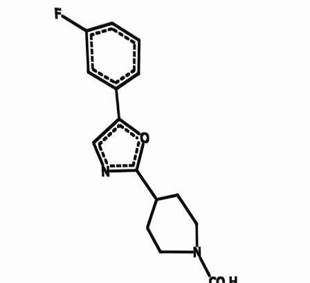 O=C(O)N1CCC(c2ncc(-c3cccc(F)c3)o2)CC1